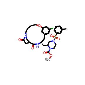 Cc1cccc(S(=O)(=O)N2CCN(C(=O)OC(C)(C)C)[C@@H](C[C@@H]3Cc4cc(F)cc(c4)OCCCCN4CC(CC4=O)C(=O)N3)C2)c1